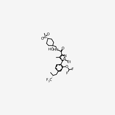 CCn1nc(C(=O)NC[C@]2(O)CC[C@@H](S(C)(=O)=O)CC2)c(C)c1-c1ccc(C[C@@H](C)C(F)(F)F)cc1OC(F)F